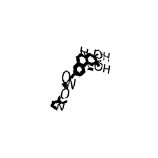 CC[C@@]12C[C@@](C)(O)[C@H](O)C[C@H]1CCc1cc(-c3nc(OCc4cccnc4C)co3)ccc12